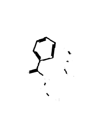 CC(=O)OOOC(C)(C)C.CC(C)(C)OOC(=O)c1ccccc1